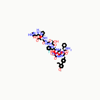 CCc1cc(OC)ccc1-c1ccc(C[C@H](NC(=O)[C@H](CC(=O)O)NC(=O)[C@H](CO)NC(=O)[C@@H](NC(=O)[C@](C)(Cc2ccccc2F)NC(=O)[C@@H](NC(=O)CNC(=O)[C@H](CCC(=O)O)NC(=O)[C@]2(C)CCCN2C(=O)[C@@H](N)Cc2c[nH]cn2)[C@@H](C)O)[C@@H](C)O)C(=O)N[C@@H](CC2CCCCC2)C(N)=O)cc1